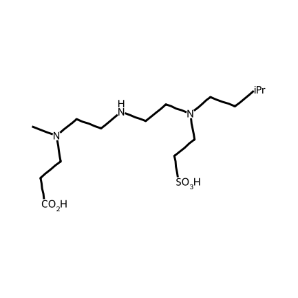 CC(C)CCN(CCNCCN(C)CCC(=O)O)CCS(=O)(=O)O